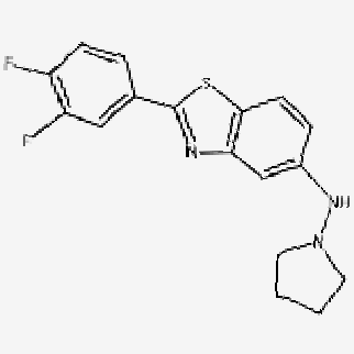 Fc1ccc(-c2nc3cc(NN4CCCC4)ccc3s2)cc1F